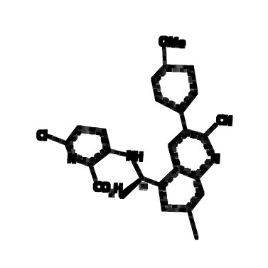 COc1ccc(-c2cc3c([C@@H](C)Nc4ccc(Cl)nc4C(=O)O)cc(C)cc3nc2C#N)cc1